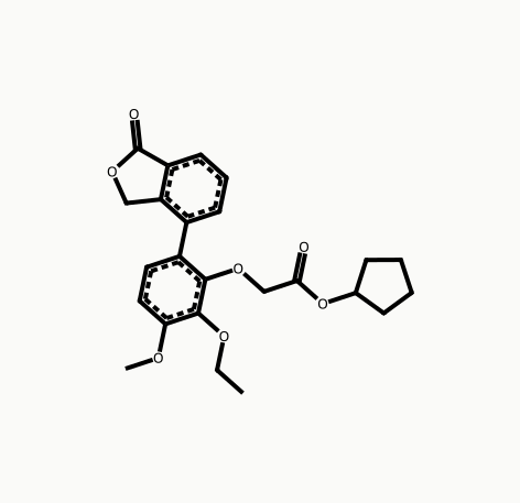 CCOc1c(OC)ccc(-c2cccc3c2COC3=O)c1OCC(=O)OC1CCCC1